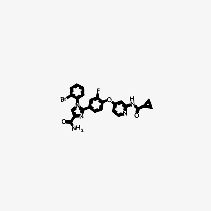 NC(=O)c1cn(-c2ccccc2Br)c(-c2ccc(Oc3ccnc(NC(=O)C4CC4)c3)c(F)c2)n1